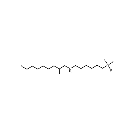 FCCCCCCC(F)C[SiH2]CCCCCC[Si](F)(F)F